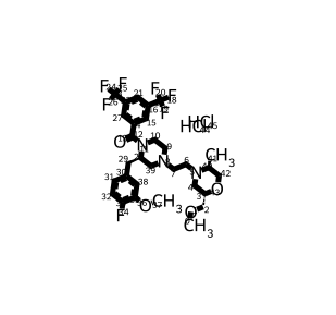 COC[C@@H]1CN(CCN2CCN(C(=O)c3cc(C(F)(F)F)cc(C(F)(F)F)c3)[C@H](Cc3ccc(F)c(OC)c3)C2)[C@@H](C)CO1.Cl.Cl